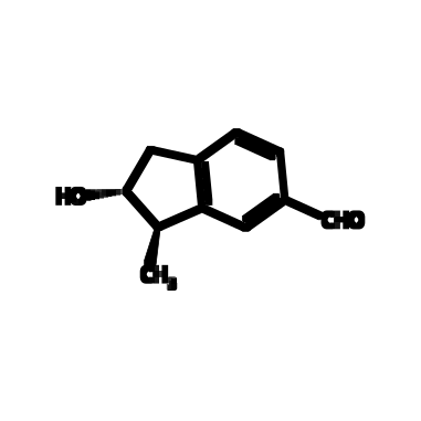 C[C@@H]1c2cc(C=O)ccc2C[C@H]1O